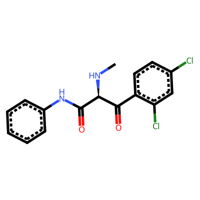 CN[C@H](C(=O)Nc1ccccc1)C(=O)c1ccc(Cl)cc1Cl